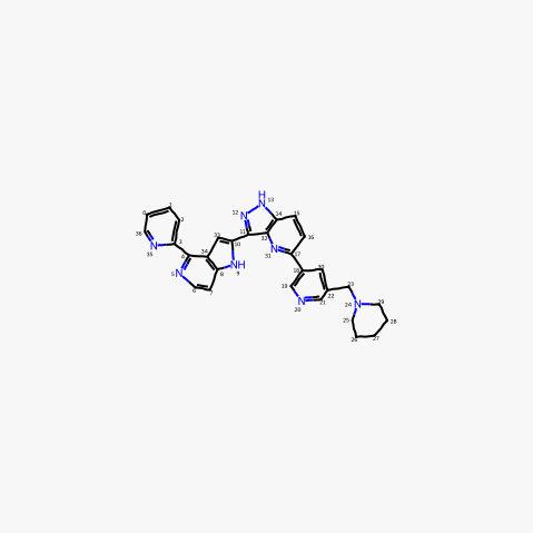 c1ccc(-c2nccc3[nH]c(-c4n[nH]c5ccc(-c6cncc(CN7CCCCC7)c6)nc45)cc23)nc1